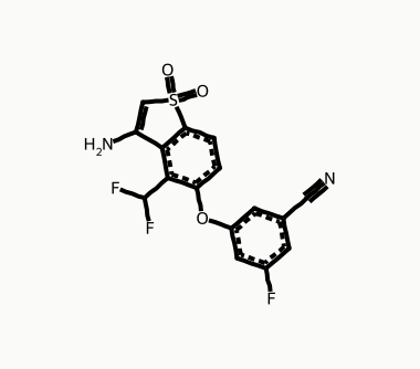 N#Cc1cc(F)cc(Oc2ccc3c(c2C(F)F)C(N)=CS3(=O)=O)c1